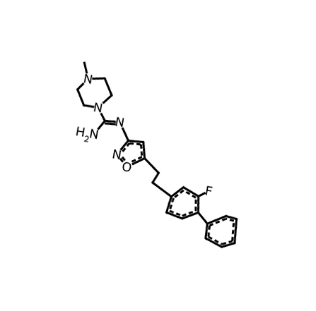 CN1CCN(C(N)=Nc2cc(CCc3ccc(-c4ccccc4)c(F)c3)on2)CC1